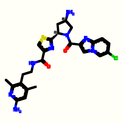 Cc1cc(N)nc(C)c1CCNC(=O)c1csc([C@@H]2C[C@@H](N)CN2C(=O)c2cn3cc(Cl)ccc3n2)n1